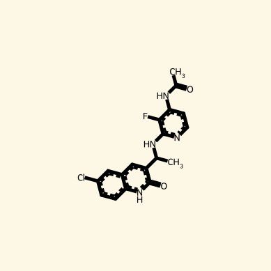 CC(=O)Nc1ccnc(NC(C)c2cc3cc(Cl)ccc3[nH]c2=O)c1F